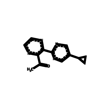 CC(=O)c1nccnc1-c1ncc(C2CC2)cn1